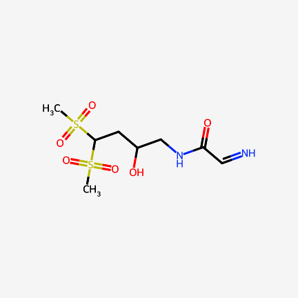 CS(=O)(=O)C(CC(O)CNC(=O)C=N)S(C)(=O)=O